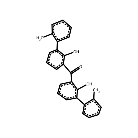 Cc1ccccc1-c1cccc(C(=O)c2cccc(-c3ccccc3C)c2O)c1O